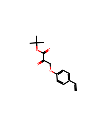 C=Cc1ccc(OCC(=O)C(=O)OC(C)(C)C)cc1